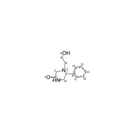 O=C1CN(CCO)C(c2ccccc2)CN1